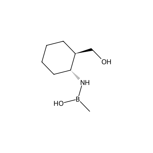 CB(O)N[C@@H]1CCCC[C@H]1CO